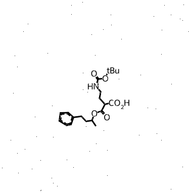 CC(CCc1ccccc1)OC(=O)C(CCNC(=O)OC(C)(C)C)C(=O)O